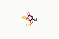 CCC(CC(=O)OS)C(=O)OS